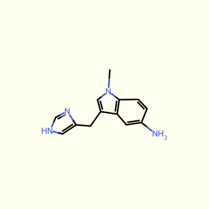 Cn1cc(Cc2c[nH]cn2)c2cc(N)ccc21